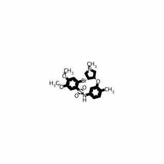 COc1cc(Br)c(S(=O)(=O)Nc2ccc(C)c(O[C@@H]3CCN(C)C3)c2)cc1OC